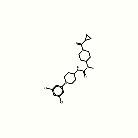 CN(C(=O)NC1CCN(c2cc(Cl)cc(Cl)c2)CC1)C1CCN(C(=O)C2CC2)CC1